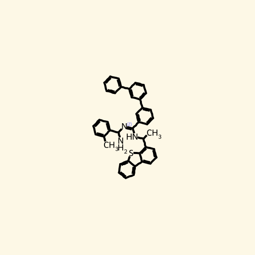 Cc1ccccc1C(N)/N=C(\NC(C)c1cccc2c1sc1ccccc12)c1cccc(-c2cccc(-c3ccccc3)c2)c1